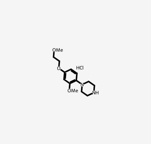 COCCOc1ccc(N2CCNCC2)c(OC)c1.Cl